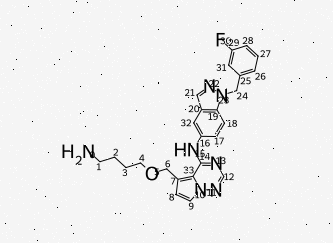 NCCCCOCc1ccn2ncnc(Nc3ccc4c(cnn4Cc4cccc(F)c4)c3)c12